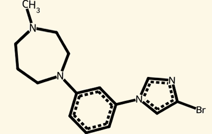 CN1CCCN(c2cccc(-n3cnc(Br)c3)c2)CC1